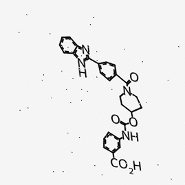 O=C(Nc1cccc(C(=O)O)c1)OC1CCN(C(=O)c2ccc(-c3nc4ccccc4[nH]3)cc2)CC1